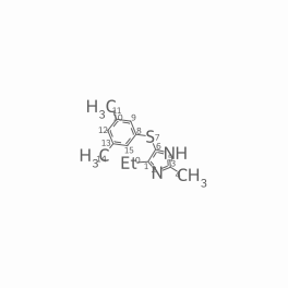 CCc1nc(C)[nH]c1Sc1cc(C)cc(C)c1